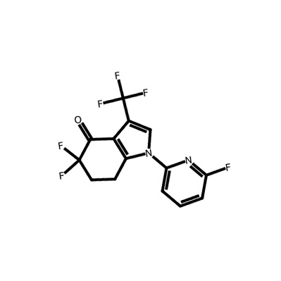 O=C1c2c(C(F)(F)F)cn(-c3cccc(F)n3)c2CCC1(F)F